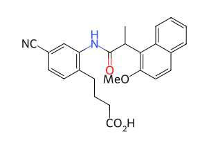 COc1ccc2ccccc2c1C(C)C(=O)Nc1cc(C#N)ccc1CCCC(=O)O